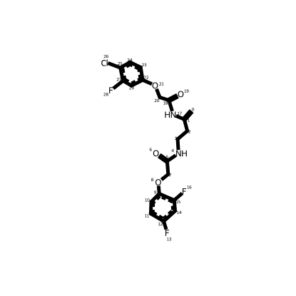 C=C(CCNC(=O)COc1ccc(F)cc1F)NC(=O)COc1ccc(Cl)c(F)c1